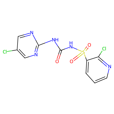 O=C(Nc1ncc(Cl)cn1)NS(=O)(=O)c1cccnc1Cl